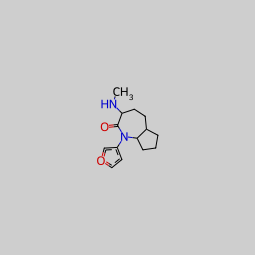 CNC1CCC2CCCC2N(c2ccoc2)C1=O